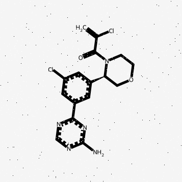 C=C(Cl)C(=O)N1CCOC[C@H]1c1cc(Cl)cc(-c2ncnc(N)n2)c1